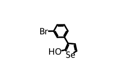 Oc1[se]ccc1-c1cccc(Br)c1